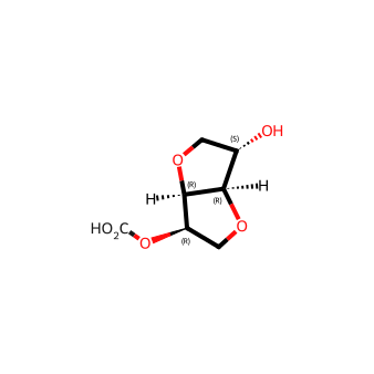 O=C(O)O[C@@H]1CO[C@H]2[C@@H]1OC[C@@H]2O